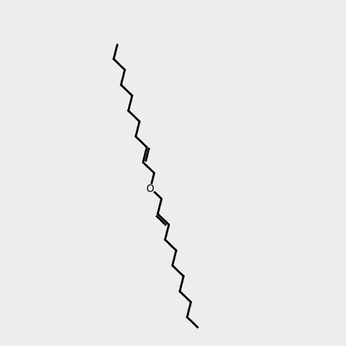 CCCCCCCCC=CCOCC=CCCCCCCCC